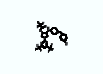 O=C(O[C@H]1CN(c2nc(C(F)(F)F)cc(C(F)(F)F)n2)C[C@@H]1NC1CCN(Cc2ccc(Cl)cc2)CC1)C(F)(F)F